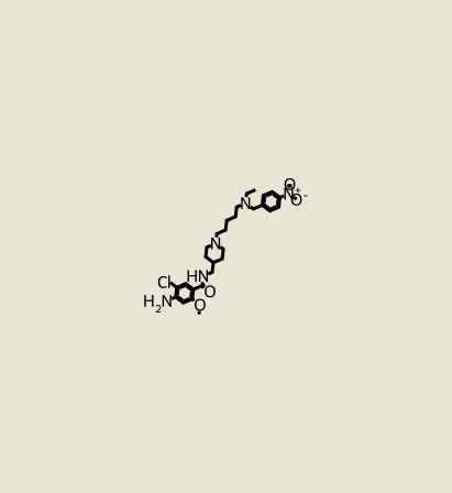 CCN(CCCCCN1CCC(CNC(=O)c2cc(Cl)c(N)cc2OC)CC1)Cc1ccc([N+](=O)[O-])cc1